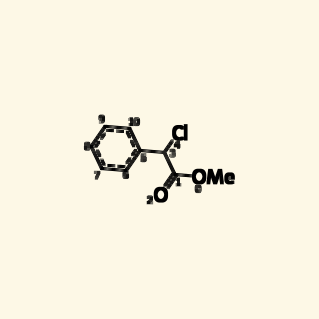 [CH2]OC(=O)C(Cl)c1ccccc1